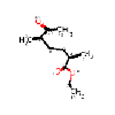 C=C(CCC(=C)C(=O)OCC)C(C)=O